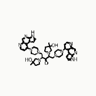 CC1(O)CCN(C(CN2CCN(c3ccnc4cnc5[nH]ccc5c34)CC2)C(=O)C(CN2CCN(c3ccnc4cnc5[nH]ccc5c34)CC2)N2CCC(C)(O)C2)C1